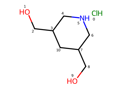 Cl.OCC1CNCC(CO)C1